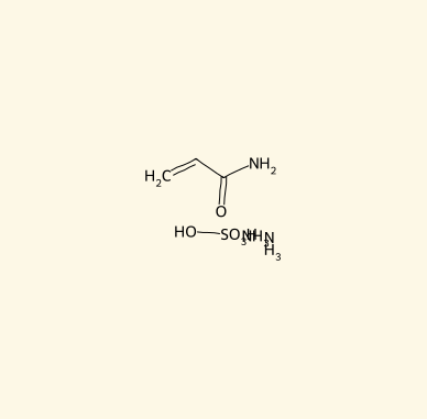 C=CC(N)=O.N.N.O=S(=O)(O)O